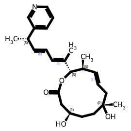 C/C(=C\C=C\[C@H](C)c1cccnc1)[C@H]1OC(=O)C[C@H](O)CC[C@@](C)(O)C/C=C/[C@@H]1C